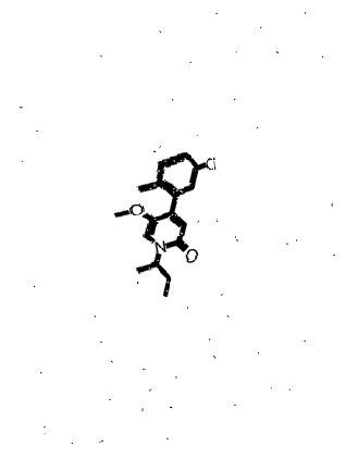 CCC(C)n1cc(OC)c(-c2cc(Cl)ccc2C)cc1=O